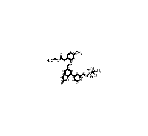 CCOC(=O)Cc1ccc(C)cc1OCc1cc(-c2ccnc(C=NS(=O)(=O)C(C)(C)C)c2)c2oc(F)cc2c1